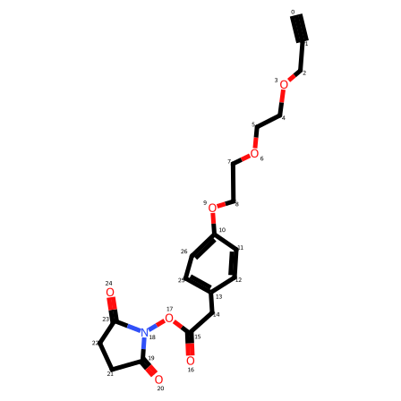 C#CCOCCOCCOc1ccc(CC(=O)ON2C(=O)CCC2=O)cc1